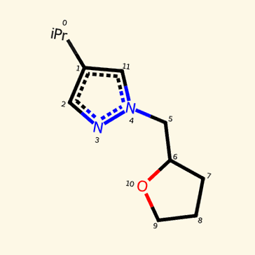 CC(C)c1cnn(CC2CCCO2)c1